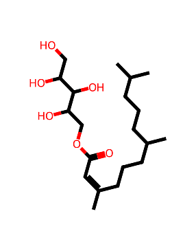 CC(=CC(=O)OCC(O)C(O)C(O)CO)CCCC(C)CCCC(C)C